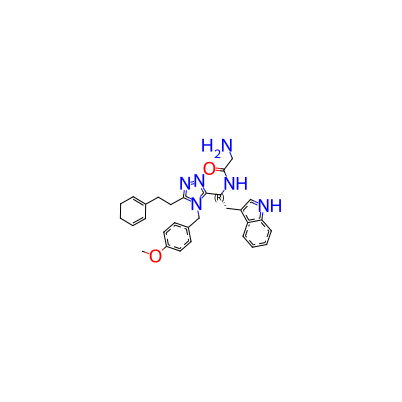 COc1ccc(Cn2c(CCC3=CCCC=C3)nnc2[C@@H](Cc2c[nH]c3ccccc23)NC(=O)CN)cc1